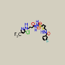 O=C(CCCNc1ncc(C(F)(F)F)cc1Cl)NNS(=O)(=O)c1ccc(CNC(=O)c2cccc(F)c2)s1